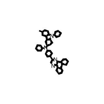 Cc1ccc2c(c1)c1cc(N(c3ccccc3)c3ccc(-c4cnc5c6ccccc6c6ccccc6c5n4)cc3)ccc1n2-c1ccccc1